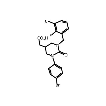 O=C(O)CC1CN(Cc2cccc(Cl)c2F)C(=O)N(c2ccc(Br)cc2)C1